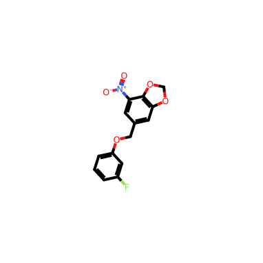 O=[N+]([O-])c1cc(COc2cccc(F)c2)cc2c1OCO2